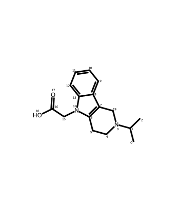 CC(C)N1CCc2c(c3ccccc3n2CC(=O)O)C1